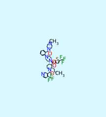 CCC[C@H]1N(C(=O)c2cnccc2C(F)(F)F)CCC[C@@]1(Oc1csc(C(F)(F)F)c1)C(=O)N1CCN(c2ccccc2C(=O)N2CCN(C)CC2)CC1